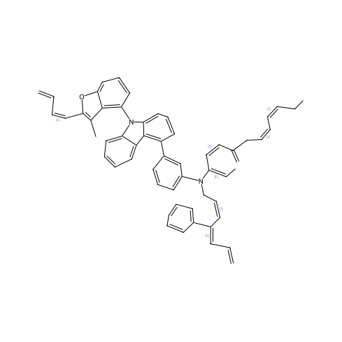 C=C/C=C\c1oc2cccc(-n3c4ccccc4c4c(-c5cccc(N(C/C=C\C(=C/C=C)c6ccccc6)C(/C=C\C(=C)C/C=C\C=C/CC)=C/C)c5)cccc43)c2c1C